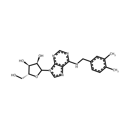 Cc1ccc(CNc2ncnc3c2ncn3C2O[C@H](CO)[C@@H](O)[C@H]2O)cc1C